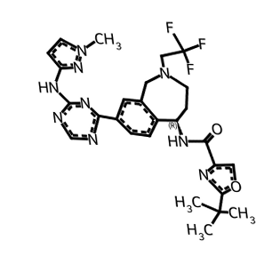 Cn1ccc(Nc2ncnc(-c3ccc4c(c3)CN(CC(F)(F)F)CC[C@H]4NC(=O)c3coc(C(C)(C)C)n3)n2)n1